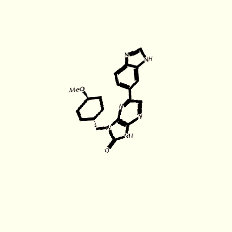 CO[C@H]1CC[C@H](Cn2c(=O)[nH]c3ncc(-c4ccc5nc[nH]c5c4)nc32)CC1